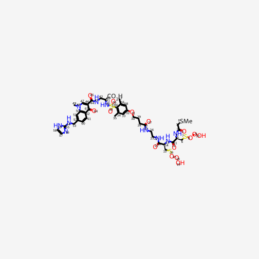 CSCC(=O)N[C@@H](CSOOO)C(=O)N[C@@H](CSOOO)C(=O)NCCNC(=O)CCCOc1cc(C)c(S(=O)(=O)N[C@@H](CNC(=O)c2cn(C)c3cc(CNc4ncc[nH]4)ccc3c2=O)C(=O)O)c(C)c1